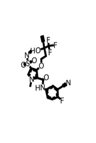 C#CC(O)(CCOc1c(S(=O)(=O)N=C)cn(C)c1C(=O)Nc1ccc(F)c(C#N)c1)C(F)(F)F